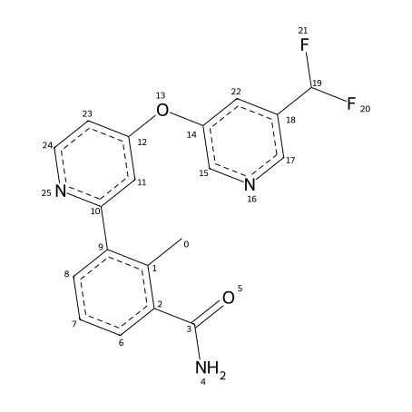 Cc1c(C(N)=O)cccc1-c1cc(Oc2cncc(C(F)F)c2)ccn1